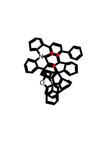 c1ccc(-c2ccc(-c3ccccc3N(c3ccc4c(c3)C3(c5ccccc5-4)c4ccccc4-n4c5ccccc5c5cccc3c54)c3ccccc3-c3cccc4c3oc3ccccc34)cc2)cc1